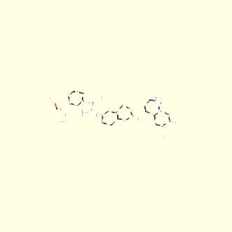 COc1cc2nccc(Oc3ccc4cc(NC(=O)c5cccc(NC(C)=O)c5)ccc4c3)c2cc1OC